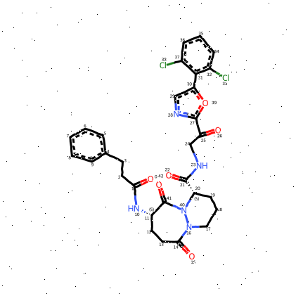 O=C(CCc1ccccc1)N[C@H]1CCC(=O)N2CCC[C@@H](C(=O)NCC(=O)c3ncc(-c4c(Cl)cccc4Cl)o3)N2C1=O